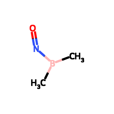 CB(C)N=O